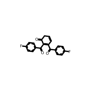 O=C1CC=CC(C(=O)c2ccc(F)cc2)=C1C(=O)c1ccc(F)cc1